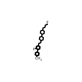 Cc1ccc(-c2ccc(CCC3CCC(C4CCC(CCCCF)CC4)CC3)cc2F)cc1